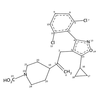 C=C(Cc1c(-c2c(Cl)cccc2Cl)noc1C1CC1)C1CCN(C(=O)O)CC1